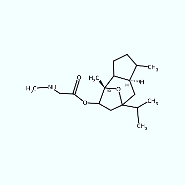 CNCC(=O)OC1CC2(C(C)C)C[C@@H]3C(C)CCC3[C@]1(C)O2